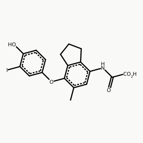 Cc1cc(NC(=O)C(=O)O)c2c(c1Oc1ccc(O)c(I)c1)CCC2